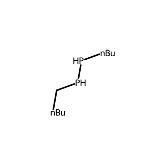 CCCCCPPCCCC